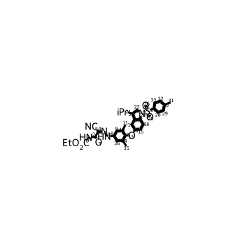 CCOC(=O)NC(=O)/C(C#N)=N\Nc1cc(C)c(Oc2ccc3c(c2)c(C(C)C)cn3S(=O)(=O)c2ccc(C)cc2)c(C)c1